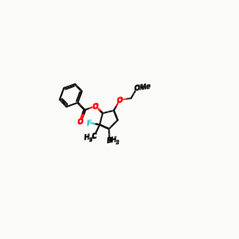 BC1CC(OCOC)C(OC(=O)c2ccccc2)C1(C)F